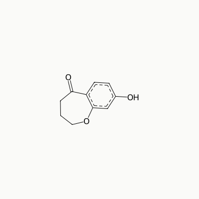 O=C1CCCOc2cc(O)ccc21